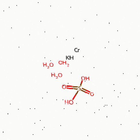 O.O.O.O=S(=O)(O)O.[Cr].[KH]